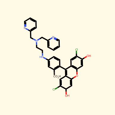 O=C(O)c1cc(NCCN(Cc2ccccn2)Cc2ccccn2)ccc1C1=C2C=C(Cl)C(O)C=C2Oc2cc(O)c(Cl)cc21